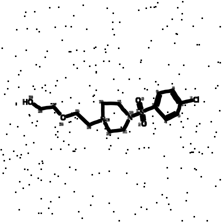 O=S(=O)(c1ccc(Cl)cc1)N1CCN(CCOCCO)CC1